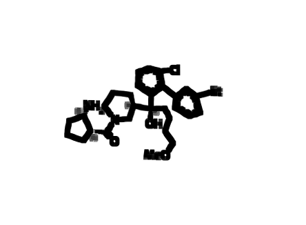 CCc1cccc(-c2c(Cl)cccc2[C@](O)(CCCCOC)[C@@H]2CCCN(C(=O)[C@@H]3CCC[C@@H]3N)C2)c1